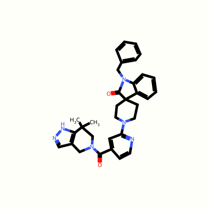 CC1(C)CN(C(=O)c2ccnc(N3CCC4(CC3)C(=O)N(Cc3ccccc3)c3ccccc34)c2)Cc2cn[nH]c21